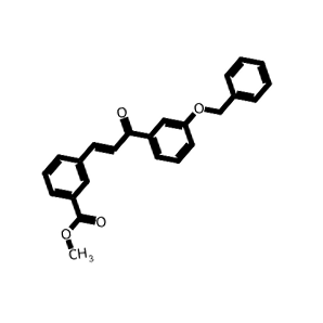 COC(=O)c1cccc(C=CC(=O)c2cccc(OCc3ccccc3)c2)c1